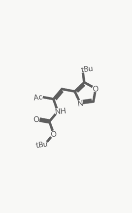 CC(=O)/C(=C/c1ncoc1C(C)(C)C)NC(=O)OC(C)(C)C